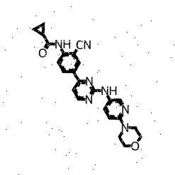 N#Cc1cc(-c2ccnc(Nc3ccc(N4CCOCC4)nc3)n2)ccc1NC(=O)C1CC1